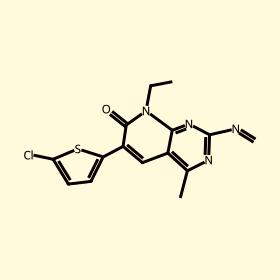 C=Nc1nc(C)c2cc(-c3ccc(Cl)s3)c(=O)n(CC)c2n1